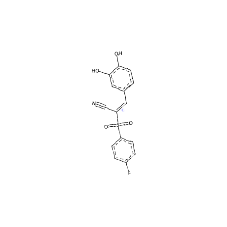 N#C/C(=C\c1ccc(O)c(O)c1)S(=O)(=O)c1ccc(F)cc1